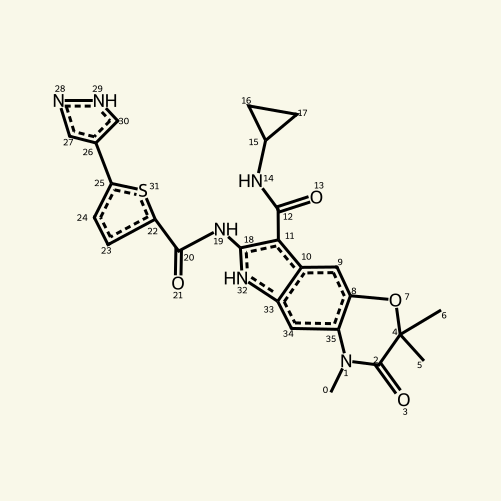 CN1C(=O)C(C)(C)Oc2cc3c(C(=O)NC4CC4)c(NC(=O)c4ccc(-c5cn[nH]c5)s4)[nH]c3cc21